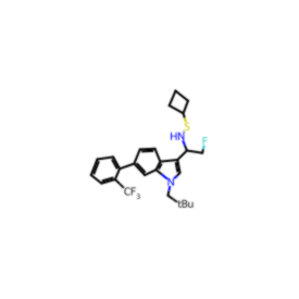 CC(C)(C)Cn1cc(C(CF)NSC2CCC2)c2ccc(-c3ccccc3C(F)(F)F)cc21